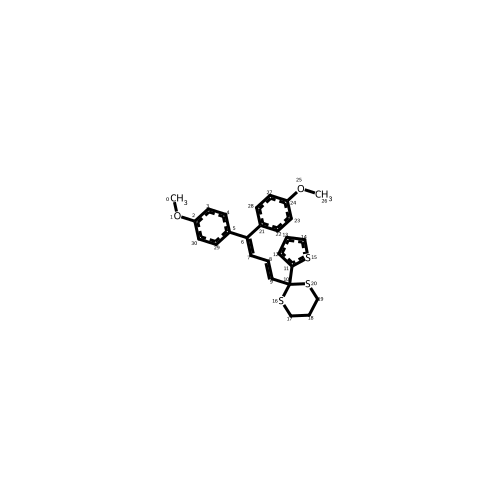 COc1ccc(C(=C/C=C/C2(c3cccs3)SCCCS2)c2ccc(OC)cc2)cc1